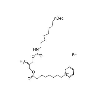 C=C(COC(=O)CCCCCCC[n+]1ccccc1)COC(=O)NCCCCCCCCCCCCCCCCCC.[Br-]